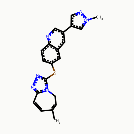 CC1=CCn2c(nnc2Sc2ccc3ncc(-c4cnn(C)c4)cc3c2)C=C1